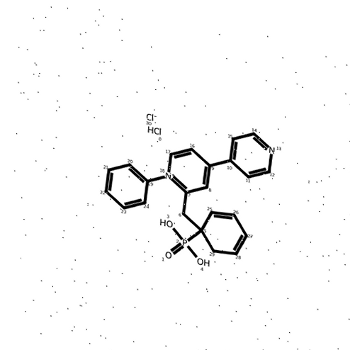 Cl.O=P(O)(O)C1(Cc2cc(-c3ccncc3)cc[n+]2-c2ccccc2)C=CC=CC1.[Cl-]